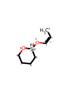 C/C=C\O[SiH]1CCCCO1